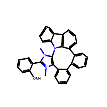 COc1ccccc1-c1n(I)c2c(c3ccccc3c3ccccc3c3cccc4c5ccccc5n2c34)[n+]1C